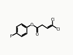 O=C(CC=C(Cl)Cl)Oc1ccc(F)cc1